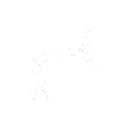 c1ccc(-c2ccc(N(c3ccc(-c4ccccc4)cc3)c3ccc(-c4ccc(-c5ccc6oc7ccc(-c8ccc9c(c8)c8ccccc8n9-c8ccccc8)cc7c6c5)cc4)cc3)cc2)cc1